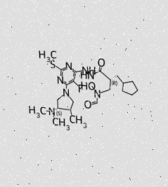 CSc1nc(NNC(=O)[C@H](CC2CCCC2)CN(O)C=O)c(F)c(N2CC(C)[C@H](N(C)C)C2)n1